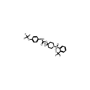 O=C(Nc1ccc(OC(F)(F)F)cc1)OC1(O)CCN(S(=O)(=O)c2ccccc2C(F)(F)F)CC1